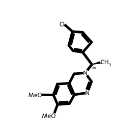 COc1cc2c(cc1OC)N=CN([C@H](C)c1ccc(Cl)cc1)C2